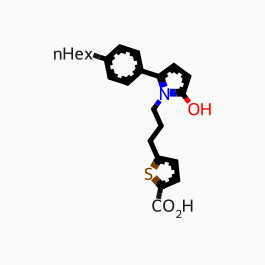 CCCCCCc1ccc(-c2ccc(O)n2CCCc2ccc(C(=O)O)s2)cc1